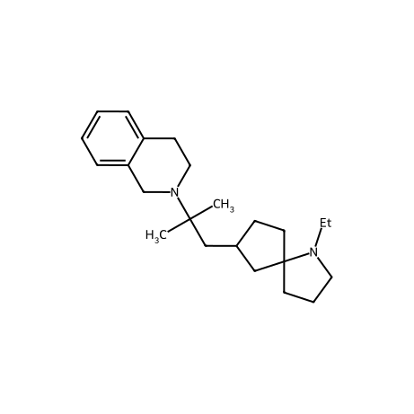 CCN1CCCC12CCC(CC(C)(C)N1CCc3ccccc3C1)C2